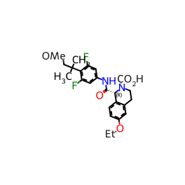 CCOc1ccc2c(c1)CCN(C(=O)O)[C@H]2C(=O)Nc1cc(F)c(C(C)(C)COC)c(F)c1